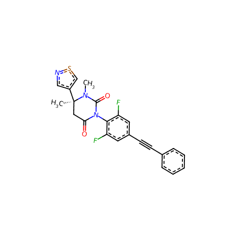 CN1C(=O)N(c2c(F)cc(C#Cc3ccccc3)cc2F)C(=O)C[C@@]1(C)c1cnsc1